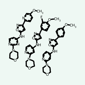 COc1ccc(-c2cc(Nc3ccnc(N4CCOCC4)c3)on2)cc1.COc1ccc(-c2cc(Nc3ccnc(N4CCOCC4)c3)on2)cc1F.COc1ccc(-c2cc(Nc3ccnc(N4CCOCC4)n3)on2)nc1